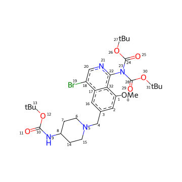 COc1cc(CN2CCC(NC(=O)OC(C)(C)C)CC2)cc2c(Br)cnc(N(C(=O)OC(C)(C)C)C(=O)OC(C)(C)C)c12